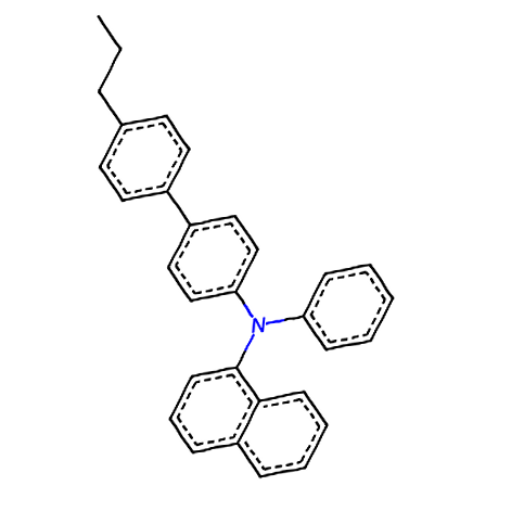 CCCc1ccc(-c2ccc(N(c3ccccc3)c3cccc4ccccc34)cc2)cc1